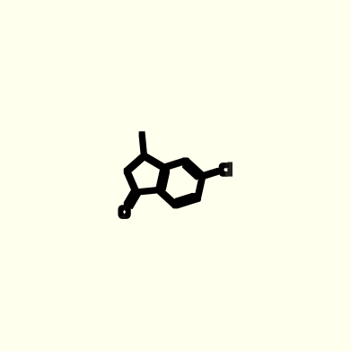 CC1CC(=O)c2ccc(Cl)cc21